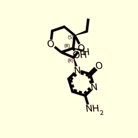 CC[C@@]12CCOC([C@H](n3ccc(N)nc3=O)O1)[C@H]2O